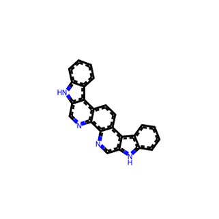 c1ccc2c(c1)[nH]c1cnc3c(ccc4c3ncc3[nH]c5ccccc5c34)c12